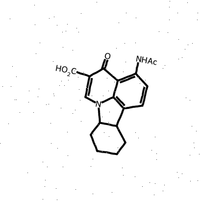 CC(=O)Nc1ccc2c3c1c(=O)c(C(=O)O)cn3C1CCCCC21